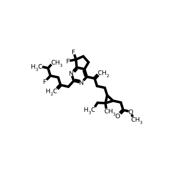 C=C(Cc1nc(C(=C)CCC2C(CC(=O)OC)C2(C)CC)c2c(n1)C(F)(F)CC2)CC(F)C(C)C